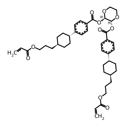 C=CC(=O)OCCC[C@H]1CC[C@H](c2ccc(C(=O)O[C@H]3OCCO[C@@H]3OC(=O)c3ccc([C@H]4CC[C@H](CCCOC(=O)C=C)CC4)cc3)cc2)CC1